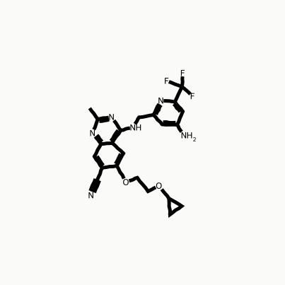 Cc1nc(NCc2cc(N)cc(C(F)(F)F)n2)c2cc(OCCOC3CC3)c(C#N)cc2n1